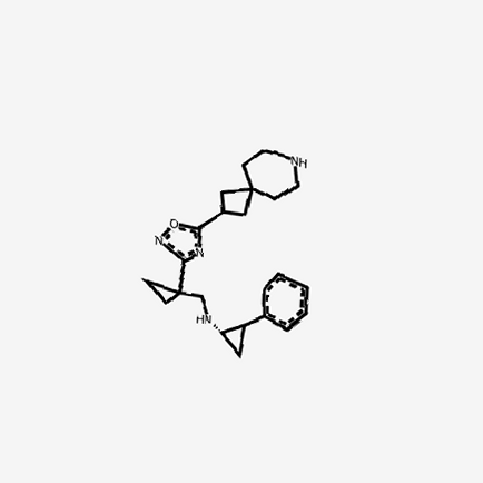 c1ccc(C2C[C@@H]2NCC2(c3noc(C4CC5(CCNCC5)C4)n3)CC2)cc1